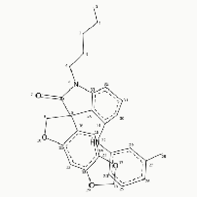 CCCCCN1C(=O)C2(COc3cc4c(cc32)OCO4)c2c(Nc3cccc(C)c3)cccc21